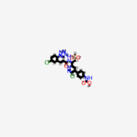 COC(=O)Nc1ccc(-c2cc(C(CS(C)(=O)=O)NC(=O)C=Cc3cc(Cl)ccc3-n3cnnn3)nnc2Cl)cc1